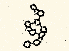 c1ccc(-c2ccc3oc4cccc(-c5ccc6oc7cccc(-c8nc(-c9ccccc9)nc(-c9cccc%10c9oc9ccccc9%10)n8)c7c6c5)c4c3c2)cc1